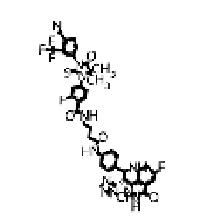 Cn1ncnc1[C@H]1c2n[nH]c(=O)c3cc(F)cc(c23)NC1c1ccc(NC(=O)CCCNC(=O)c2ccc(N3C(=S)N(c4ccc(C#N)c(C(F)(F)F)c4)C(=O)C3(C)C)cc2F)cc1